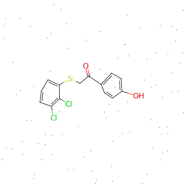 O=C(CSc1cccc(Cl)c1Cl)c1ccc(O)cc1